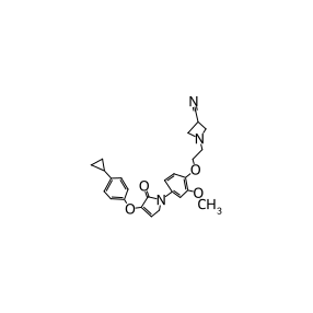 COc1cc(N2CC=C(Oc3ccc(C4CC4)cc3)C2=O)ccc1OCCN1CC(C#N)C1